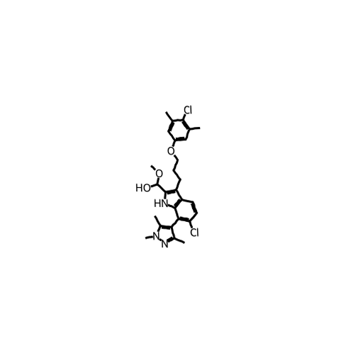 COC(O)c1[nH]c2c(-c3c(C)nn(C)c3C)c(Cl)ccc2c1CCCOc1cc(C)c(Cl)c(C)c1